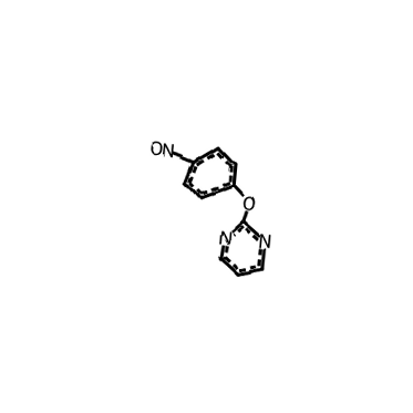 O=Nc1ccc(Oc2ncccn2)cc1